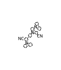 N#Cc1cc(-c2ccc(-n3c4cc(C#N)ccc4c4c(-n5c6ccccc6c6ccccc65)cccc43)cc2)cc(-n2c3ccccc3c3ccccc32)c1